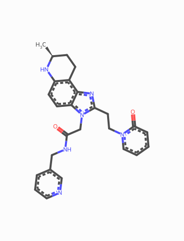 C[C@H]1CCc2c(ccc3c2nc(CCn2ccccc2=O)n3CC(=O)NCc2cccnc2)N1